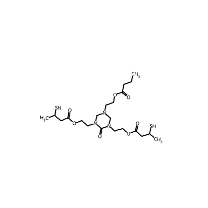 CCCC(=O)OCCN1CN(CCOC(=O)CC(C)S)C(=O)N(CCOC(=O)CC(C)S)C1